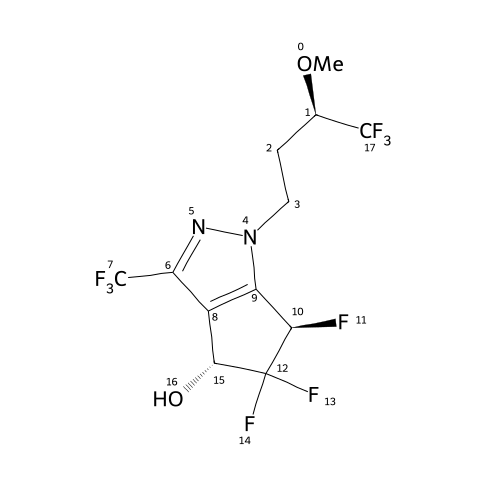 CO[C@H](CCn1nc(C(F)(F)F)c2c1[C@@H](F)C(F)(F)[C@@H]2O)C(F)(F)F